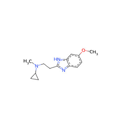 COc1ccc2nc(CCN(C)C3CC3)[nH]c2c1